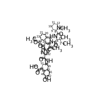 CCC(C)C(NC(=O)C1CCCCN1C)C(=O)N(Cc1ccccc1)[C@H](C[C@@H](OCOC)c1nc(C(=O)N[C@H]2Cc3ccc(O)cc3[C@H](C(=O)O)C2)cs1)C(C)C